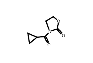 O=C1OCCN1C(=O)C1CC1